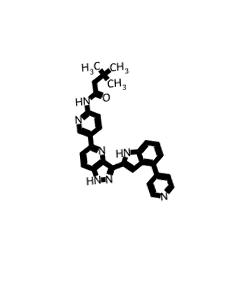 CC(C)(C)CC(=O)Nc1ccc(-c2ccc3[nH]nc(-c4cc5c(-c6ccncc6)cccc5[nH]4)c3n2)cn1